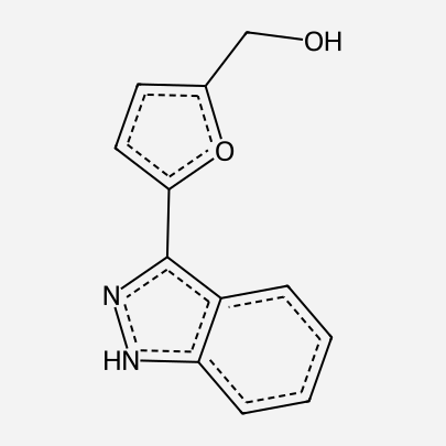 OCc1ccc(-c2n[nH]c3ccccc23)o1